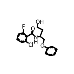 O=C(NC(CCO)COc1ccccc1)c1c(F)cccc1Cl